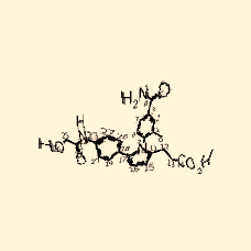 Cc1cc(C(N)=O)ccc1-n1c(CCC(=O)O)ccc1-c1ccc(NC(=O)CO)cc1